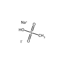 CS(=O)(=O)O.[I-].[Na+]